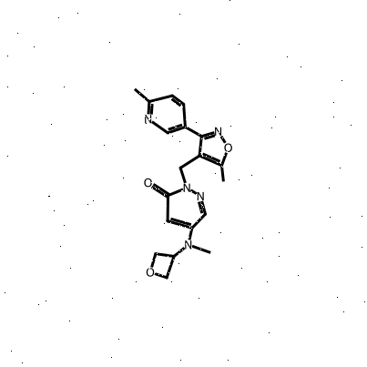 Cc1ccc(-c2noc(C)c2Cn2ncc(N(C)C3COC3)cc2=O)cn1